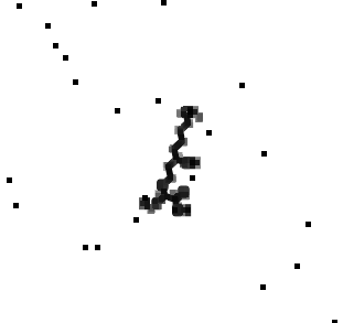 CCCCCC(O)CCOC(C)C(=O)O